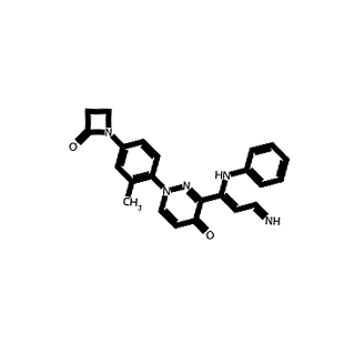 Cc1cc(N2CCC2=O)ccc1-n1ccc(=O)c(/C(=C/C=N)Nc2ccccc2)n1